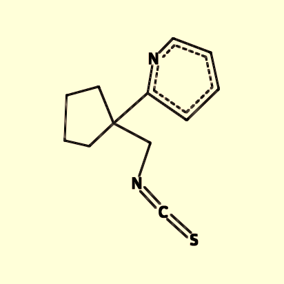 S=C=NCC1(c2ccccn2)CCCC1